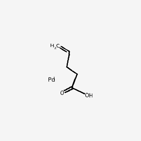 C=CCCC(=O)O.[Pd]